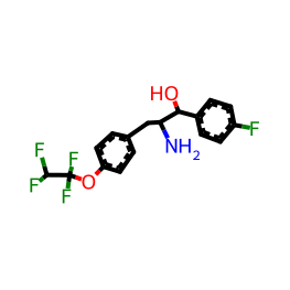 NC(Cc1ccc(OC(F)(F)C(F)F)cc1)C(O)c1ccc(F)cc1